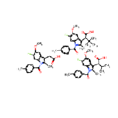 COc1cc2c(C(C(=O)O)C(C)(C)C)c(C)n(C(=O)c3ccc(C)cc3)c2cc1F.COc1cc2c(C(C(=O)O)C(C)C)c(C)n(C(=O)c3ccc(C)cc3)c2cc1F.COc1cc2c(CC(=O)O)c(C)n(C(=O)c3ccc(C)cc3)c2cc1F